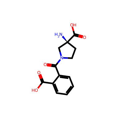 N[C@@]1(C(=O)O)CCN(C(=O)c2ccccc2C(=O)O)C1